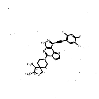 C[C@@H]1OCC2(CCN(c3nc4[nH]nc(C#Cc5cc(Cl)c(F)cc5F)c4c4nccn34)CC2)[C@@H]1N